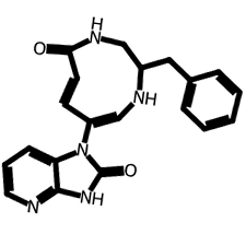 O=C1/C=C/C(n2c(=O)[nH]c3ncccc32)=C\NC(Cc2ccccc2)CN1